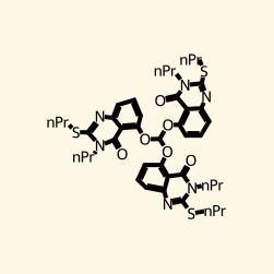 CCCSc1nc2cccc(OC(Oc3cccc4nc(SCCC)n(CCC)c(=O)c34)Oc3cccc4nc(SCCC)n(CCC)c(=O)c34)c2c(=O)n1CCC